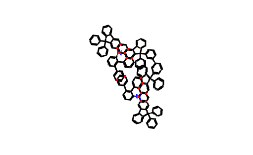 c1ccc(-c2ccccc2-c2c(-c3ccccc3)cccc2N(c2ccc3c(c2)-c2ccccc2C3(c2ccccc2)c2ccccc2)c2ccc3c(c2)-c2ccccc2C3(c2ccccc2)c2cccc(-c3cccc(C4(c5ccccc5)c5ccccc5-c5cc(N(c6ccc7c(c6)C(c6ccccc6)(c6ccccc6)c6ccccc6-7)c6cccc(-c7ccccc7)c6-c6ccccc6-c6ccccc6)ccc54)c3)c2)cc1